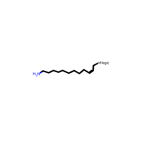 CCCCCCCC/C=C\CCCCCCCCCN